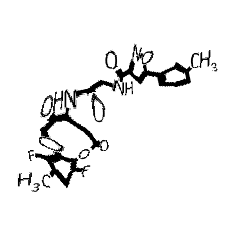 Cc1cccc(-c2cc(C(=O)NCC(=O)N[C@H]3CC(=O)Oc4c(F)cc(C)c(F)c4OCC3=O)no2)c1